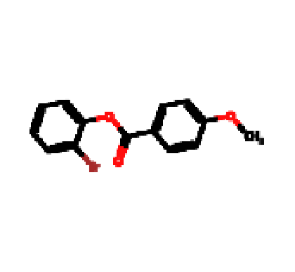 COc1ccc(C(=O)Oc2ccccc2Br)cc1